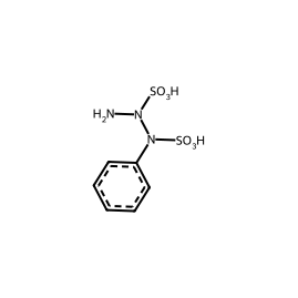 NN(N(c1ccccc1)S(=O)(=O)O)S(=O)(=O)O